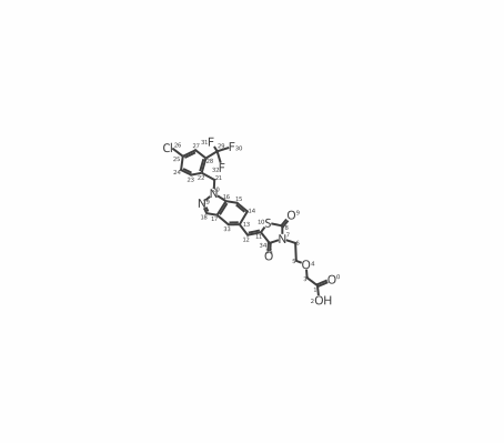 O=C(O)COCCN1C(=O)S/C(=C\c2ccc3c(cnn3Cc3ccc(Cl)cc3C(F)(F)F)c2)C1=O